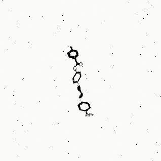 CCC[C@H]1CC[C@H](C=CC#C[C@H]2CC[C@H](OC(=O)c3ccc(C)cc3)CC2)CC1